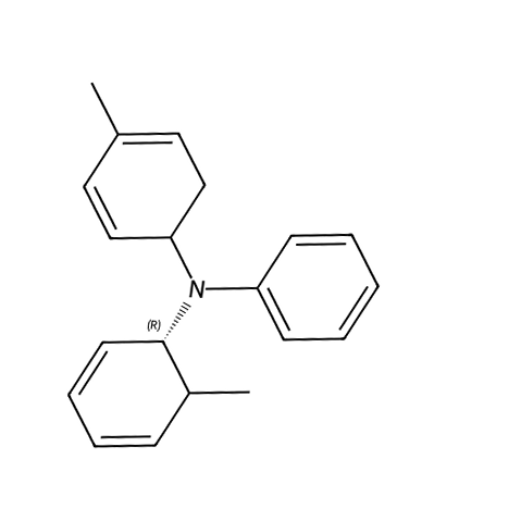 CC1=CCC(N(c2ccccc2)[C@H]2C=CC=CC2C)C=C1